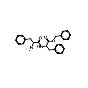 NC(Cc1ccccc1)C(=O)NC(Cc1ccccc1)C(=O)OCc1ccccc1